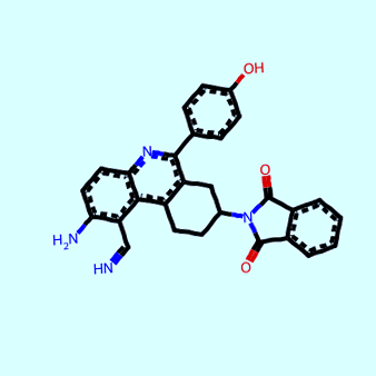 N=Cc1c(N)ccc2nc(-c3ccc(O)cc3)c3c(c12)CCC(N1C(=O)c2ccccc2C1=O)C3